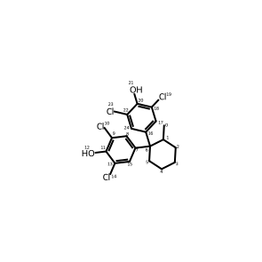 CC1CCCCC1(c1cc(Cl)c(O)c(Cl)c1)c1cc(Cl)c(O)c(Cl)c1